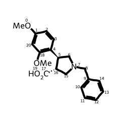 COc1ccc([C@H]2CN(Cc3ccccc3)C[C@@H]2C(=O)O)c(OC)c1